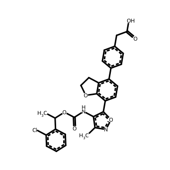 Cc1noc(-c2ccc(-c3ccc(CC(=O)O)cc3)c3c2OCC3)c1NC(=O)OC(C)c1ccccc1Cl